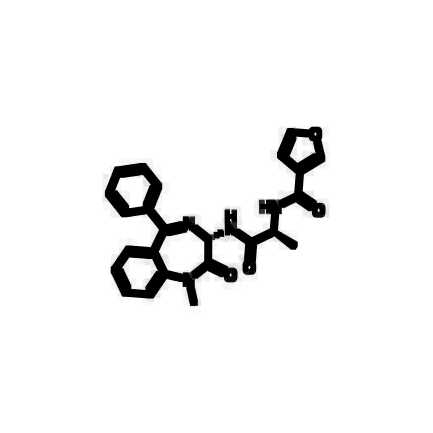 C[C@H](NC(=O)c1ccoc1)C(=O)N[C@H]1N=C(c2ccccc2)c2ccccc2N(C)C1=O